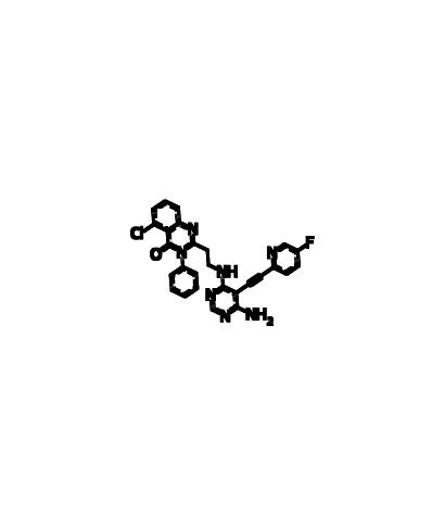 Nc1ncnc(NCCc2nc3cccc(Cl)c3c(=O)n2-c2ccccc2)c1C#Cc1ccc(F)cn1